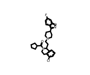 O=C(C1CCCC1)N1CCc2c(Cl)cccc2C1CCN1CCC(c2noc3cc(F)ccc23)CC1